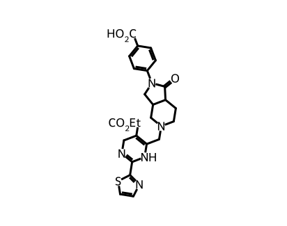 CCOC(=O)C1=C(CN2CCC3C(=O)N(c4ccc(C(=O)O)cc4)CC3C2)NC(c2nccs2)=NC1